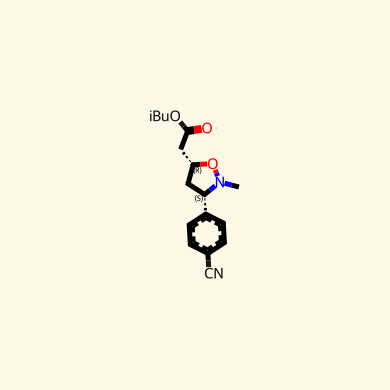 CC(C)COC(=O)C[C@H]1C[C@@H](c2ccc(C#N)cc2)N(C)O1